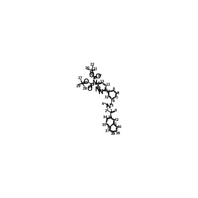 C=C(CN(C)Cc1cccc(-c2ccc(N(C(=O)OC(C)(C)C)C(=O)OC(C)(C)C)nn2)c1)c1ccc2ccccc2c1